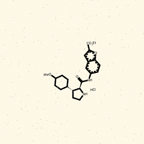 CCOC(=O)c1cc2cc(NC(=O)[C@H]3NCC[C@@H]3C3CCC(OC)CC3)ccc2o1.Cl